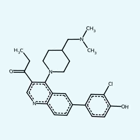 CCC(=O)c1cnc2ccc(-c3ccc(O)c(Cl)c3)cc2c1N1CCC(CN(C)C)CC1